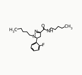 CCCCCNC(=O)C1=NN(CCCCC)C(c2ccccc2F)C1